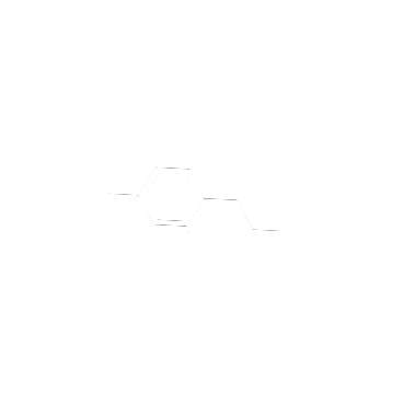 [CH2]C(=O)OCCc1ccc(Cl)cc1